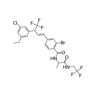 CCc1cc(Cl)cc(C(/C=C/c2ccc(C(=O)NC(C)C(=O)NCC(F)(F)F)c(Br)c2)C(F)(F)F)c1